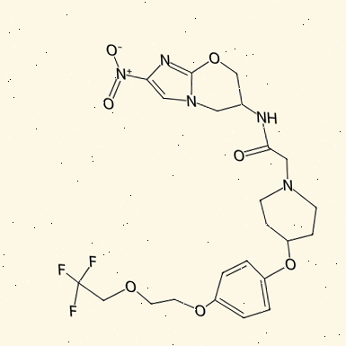 O=C(CN1CCC(Oc2ccc(OCCOCC(F)(F)F)cc2)CC1)NC1COc2nc([N+](=O)[O-])cn2C1